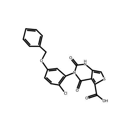 O=C(O)c1scc2[nH]c(=O)n(-c3cc(OCc4ccccc4)ccc3Cl)c(=O)c12